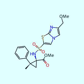 COCc1cn2cc(S(=O)(=O)N[C@@]3(C(=O)OC)C[C@]3(C)c3ccccc3)sc2n1